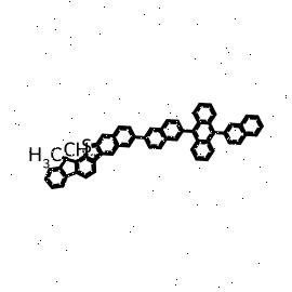 CC1(C)c2ccccc2-c2ccc3c(sc4cc5ccc(-c6ccc7cc(-c8c9ccccc9c(-c9ccc%10ccccc%10c9)c9ccccc89)ccc7c6)cc5cc43)c21